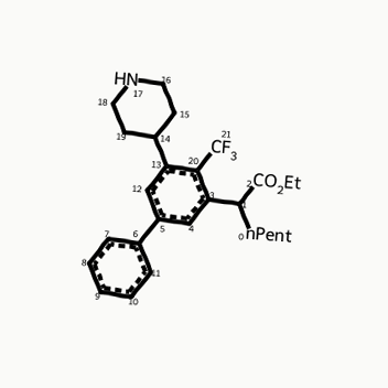 CCCCCC(C(=O)OCC)c1cc(-c2ccccc2)cc(C2CCNCC2)c1C(F)(F)F